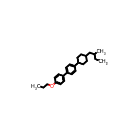 CCCOc1ccc(-c2ccc(C3CCC(CC(C)CC)CC3)cc2)cc1